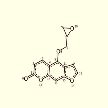 O=c1ccc2c(OCC3CO3)c3ccoc3cc2o1